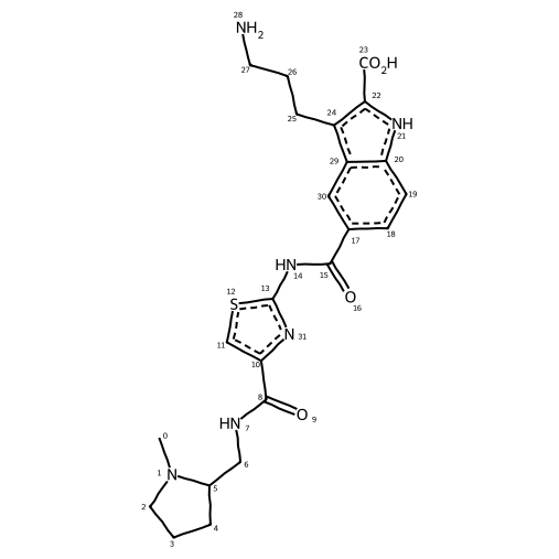 CN1CCCC1CNC(=O)c1csc(NC(=O)c2ccc3[nH]c(C(=O)O)c(CCCN)c3c2)n1